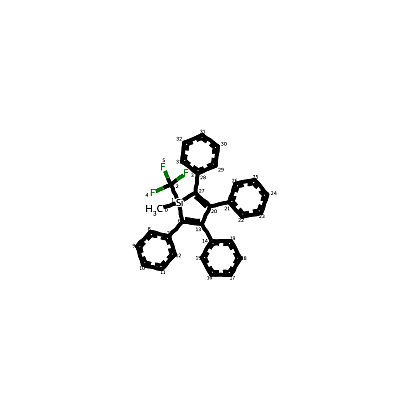 C[Si]1(C(F)(F)F)C(c2ccccc2)=C(c2ccccc2)C(c2ccccc2)=C1c1ccccc1